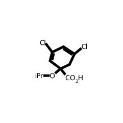 CC(C)OC1(C(=O)O)C=C(Cl)C=C(Cl)C1